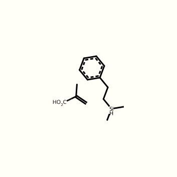 C=C(C)C(=O)O.C[SiH](C)CCc1ccccc1